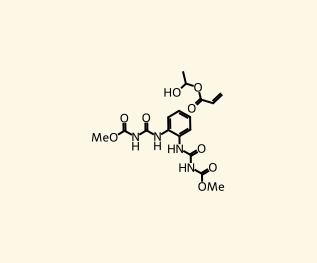 C=CC(=O)OC(C)O.COC(=O)NC(=O)Nc1ccccc1NC(=O)NC(=O)OC